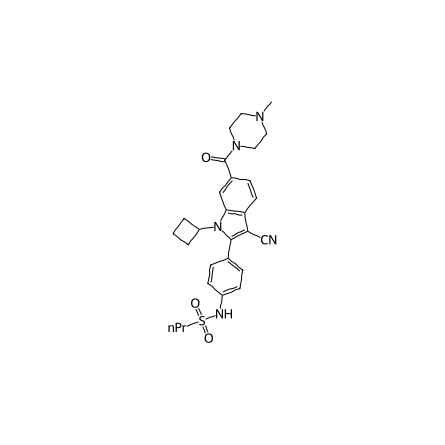 CCCS(=O)(=O)Nc1ccc(-c2c(C#N)c3ccc(C(=O)N4CCN(C)CC4)cc3n2C2CCC2)cc1